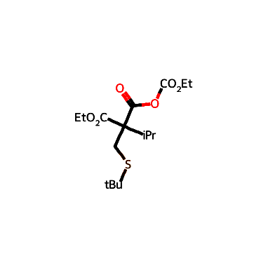 CCOC(=O)OC(=O)C(CSC(C)(C)C)(C(=O)OCC)C(C)C